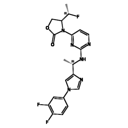 C[C@H](Nc1nccc(N2C(=O)OCC2[C@H](C)F)n1)c1cn(-c2ccc(F)c(F)c2)cn1